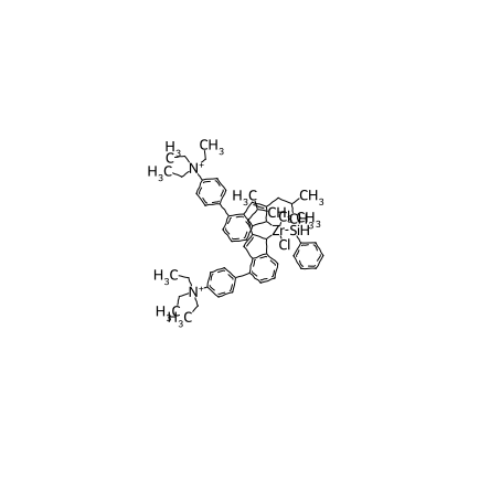 CC[N+](CC)(CC)c1ccc(-c2cccc3c2C=C(CC(C)C)[CH]3[Zr]([Cl])([Cl])([CH]2C(CC(C)C)=Cc3c(-c4ccc([N+](CC)(CC)CC)cc4)cccc32)[SiH](C)c2ccccc2)cc1